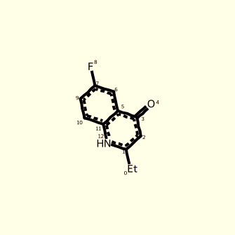 CCc1cc(=O)c2cc(F)ccc2[nH]1